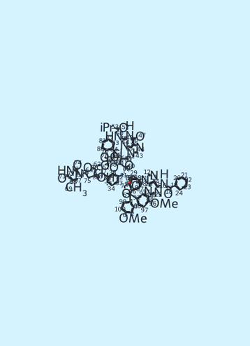 COc1ccc(C(OC[C@@H]2O[C@@H](n3cnc4c(NC(=O)c5ccccc5)ncnc43)C[C@H]2C(c2cc[c]c(Cl)c2)[C@H]2O[C@@H](n3cnc4c(=O)[nH]c(NC(=O)C(C)C)nc43)C[C@@H]2OP(=O)(OC[C@H]2O[C@@H](n3cc(C)c(=O)[nH]c3=O)C[C@@H]2O)Oc2ccccc2Cl)(c2ccccc2)c2ccc(OC)cc2)cc1